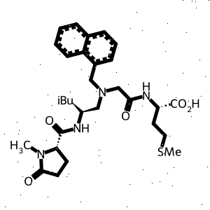 CC[C@H](C)[C@@H](CN(CC(=O)N[C@@H](CCSC)C(=O)O)Cc1cccc2ccccc12)NC(=O)[C@@H]1CCC(=O)N1C